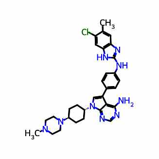 Cc1cc2nc(Nc3ccc(-c4cn([C@H]5CC[C@H](N6CCN(C)CC6)CC5)c5ncnc(N)c45)cc3)[nH]c2cc1Cl